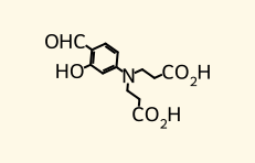 O=Cc1ccc(N(CCC(=O)O)CCC(=O)O)cc1O